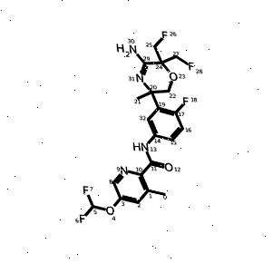 Cc1cc(OC(F)F)cnc1C(=O)Nc1ccc(F)c(C2(C)COC(CF)(CF)C(N)=N2)c1